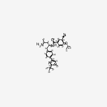 CC(N)C[C@H](Cc1ccc(-c2cn(C)c(C(C)(C)C)n2)cc1)NC(=O)c1ccc(OC(C)C)c(C#N)c1